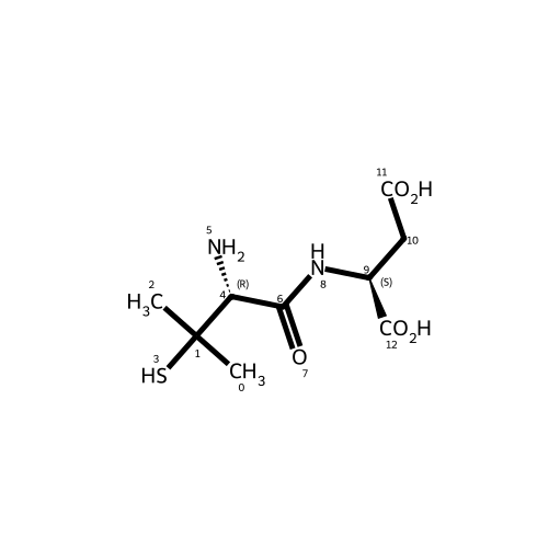 CC(C)(S)[C@H](N)C(=O)N[C@@H](CC(=O)O)C(=O)O